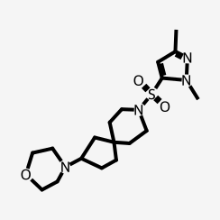 Cc1cc(S(=O)(=O)N2CCC3(CCC(N4CCOCC4)C3)CC2)n(C)n1